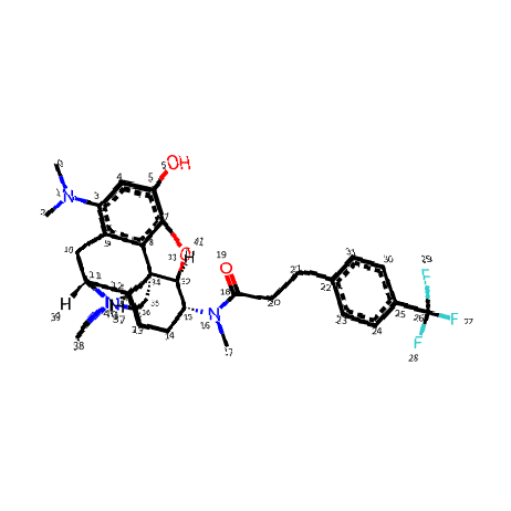 CN(C)c1cc(O)c2c3c1C[C@@H]1[C@@H]4CC[C@@H](N(C)C(=O)CCc5ccc(C(F)(F)F)cc5)[C@H](O2)[C@]34CCN1C